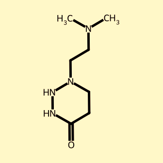 CN(C)CCN1CCC(=O)NN1